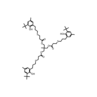 Cc1cc(CCCSCCC(=O)OCC(C)(COC(=O)CCSCCCc2cc(C)cc(C(C)(C)C)c2O)COC(=O)CCSCCCc2cc(C)cc(C(C)(C)C)c2O)c(O)c(C(C)(C)C)c1